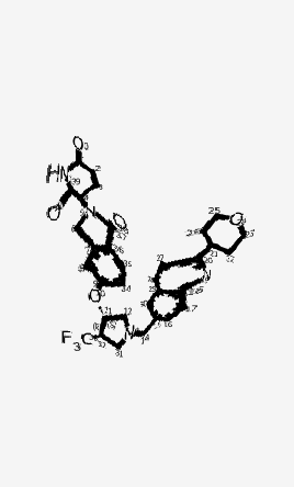 O=C1CCC(N2Cc3cc(O[C@@H]4CN(Cc5ccc6nc(C7CCOCC7)ccc6c5)C[C@H]4C(F)(F)F)ccc3C2=O)C(=O)N1